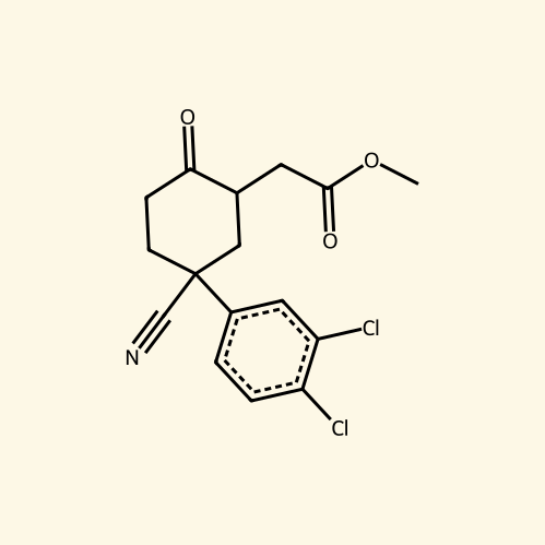 COC(=O)CC1CC(C#N)(c2ccc(Cl)c(Cl)c2)CCC1=O